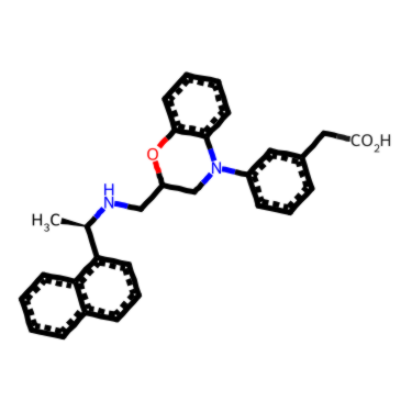 C[C@@H](NCC1CN(c2cccc(CC(=O)O)c2)c2ccccc2O1)c1cccc2ccccc12